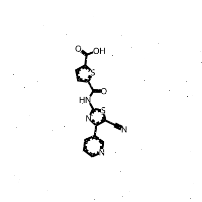 N#Cc1sc(NC(=O)c2ccc(C(=O)O)s2)nc1-c1cccnc1